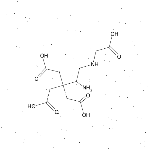 NC(CNCC(=O)O)C(CC(=O)O)(CC(=O)O)CC(=O)O